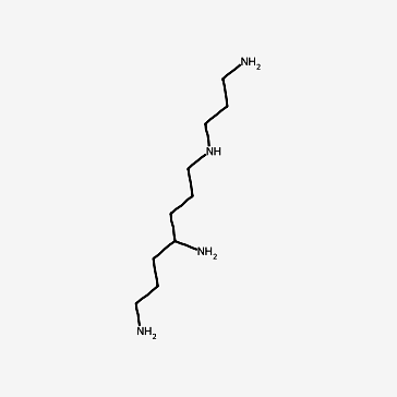 NCCCNCCCC(N)CCCN